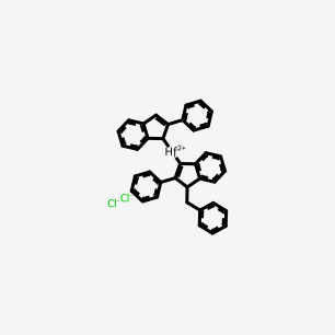 C1=C(c2ccccc2)[CH]([Hf+2][C]2=C(c3ccccc3)C(Cc3ccccc3)c3ccccc32)c2ccccc21.[Cl-].[Cl-]